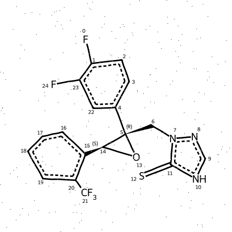 Fc1ccc([C@]2(Cn3nc[nH]c3=S)O[C@H]2c2ccccc2C(F)(F)F)cc1F